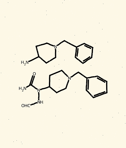 NC(=O)N(NC=O)C1CCN(Cc2ccccc2)CC1.NC1CCN(Cc2ccccc2)CC1